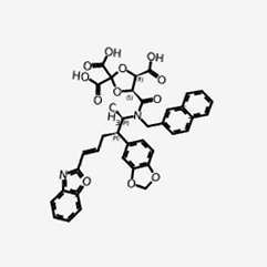 C[C@H]([C@H](CC=Cc1nc2ccccc2o1)c1ccc2c(c1)OCO2)N(Cc1ccc2ccccc2c1)C(=O)[C@H]1OC(C(=O)O)(C(=O)O)O[C@H]1C(=O)O